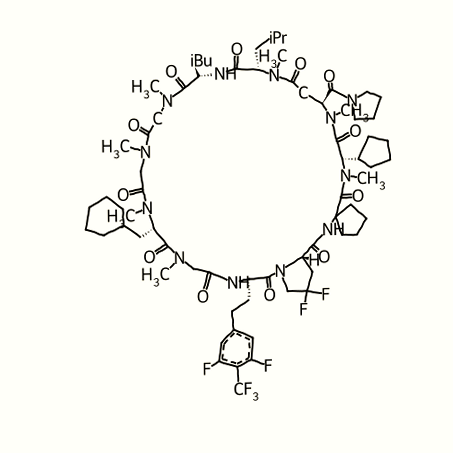 CC[C@H](C)[C@@H]1NC(=O)[C@H](CC(C)C)N(C)C(=O)C[C@@H](C(=O)N2CCCC2)N(C)C(=O)[C@H](C2CCCC2)N(C)C(=O)C2(CCCC2)NC(=O)[C@@H]2CC(F)(F)CN2C(=O)[C@H](CCc2cc(F)c(C(F)(F)F)c(F)c2)NC(=O)CN(C)C(=O)[C@H](CC2CCCCC2)N(C)C(=O)CN(C)C(=O)CN(C)C1=O